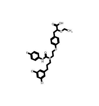 CCOC(Cc1ccc(OCCN(CCCc2cc(Cl)cc(Cl)c2)C(=O)Nc2ccc(F)cc2)cc1)C(=O)O